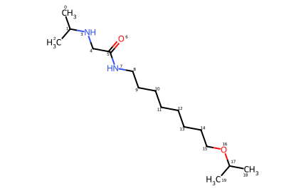 CC(C)NCC(=O)NCCCCCCCCOC(C)C